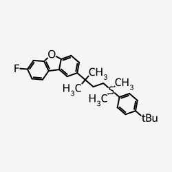 CC(C)(C)c1ccc(S(C)(C)CCC(C)(C)c2ccc3oc4cc(F)ccc4c3c2)cc1